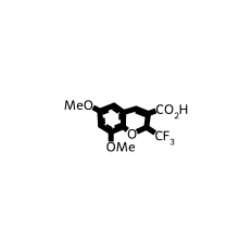 COc1cc2c(c(OC)c1)OC(C(F)(F)F)C(C(=O)O)=C2